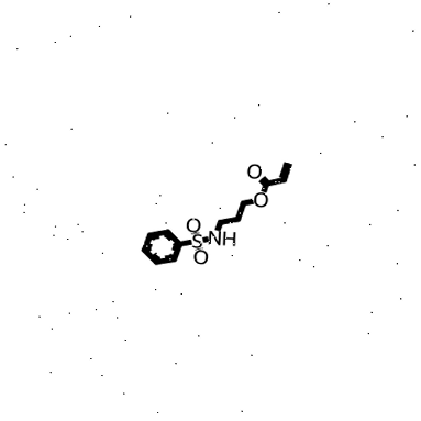 C=CC(=O)OCCCNS(=O)(=O)c1ccccc1